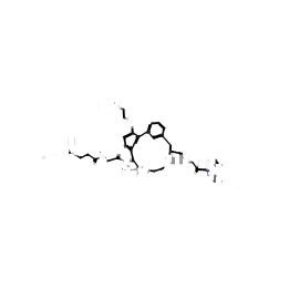 CCCCCCCCCCNCCC(=O)NCC(=O)N(C)C1C(=O)NCC(=O)NC(C(=O)NCC(=O)/C(=N/N)NN)Cc2ccc(O)c(c2)-c2cc1ccc2OCCN